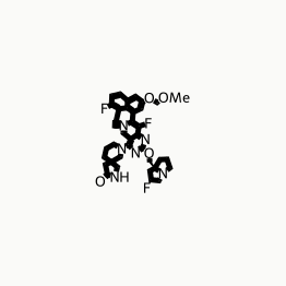 C#Cc1c(F)ccc2cc(OCOC)cc(-c3ncc4c(N5CCCC6(CNC(=O)C6)C5)nc(OC[C@@]56CCCN5C[C@H](F)C6)nc4c3F)c12